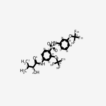 CC(C)[C@H](O)C(=O)Nc1ccc(S(=O)(=O)Nc2cccc(OC(F)(F)F)c2)c(OC(F)(F)F)c1